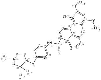 COc1cc(OC)c(Cl)c(-c2ccc(C(=O)Nc3ccc(CN4CCN(C)CC4(C)C)nc3)c3nccnc23)c1Cl